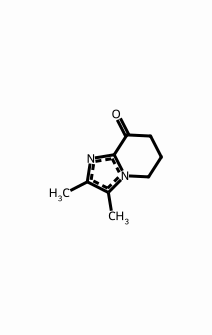 Cc1nc2n(c1C)CCCC2=O